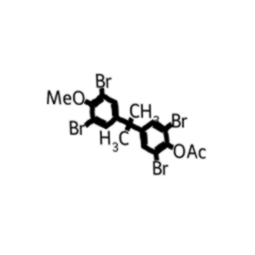 COc1c(Br)cc(C(C)(C)c2cc(Br)c(OC(C)=O)c(Br)c2)cc1Br